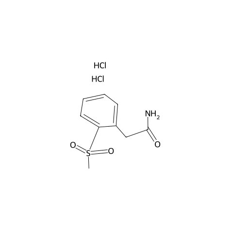 CS(=O)(=O)c1ccccc1CC(N)=O.Cl.Cl